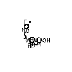 CC(CCc1nc2cc(F)c(F)cc2o1)[C@H]1CC[C@H]2[C@@H]3[C@@H](O)C[C@@H]4C[C@H](O)CC[C@]4(C)[C@H]3CC[C@]12C